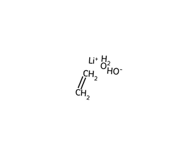 C=C.O.[Li+].[OH-]